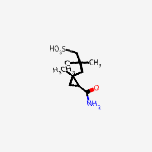 CC(C)(CC1(C)CC1C(N)=O)CS(=O)(=O)O